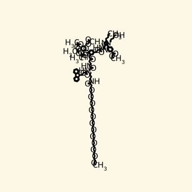 CCCCc1nc2c(NC(=O)OCc3ccc(O[C@H]4O[C@H](COC(C)=O)[C@@H](OC(C)=O)[C@H](OC(C)=O)[C@@H]4OC(C)=O)c(NC(=O)CCNC(=O)[C@H](CCCCNC(=O)CCOCCOCCOCCOCCOCCOCCOCCOCCOCCOCCOCCOC)NC(=O)OCC4c5ccccc5-c5ccccc54)c3)nc3cc(C(=O)OC)ccc3c2n1CCCCO